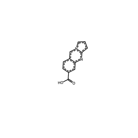 O=C(O)c1ccc2cn3cccc3nc2c1